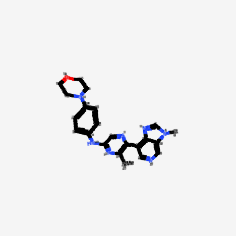 CCn1cnc2c(-c3ncc(Nc4ccc(N5CCOCC5)cc4)nc3NC)cncc21